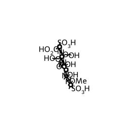 COc1cc(S(=O)(=O)O)c(C)cc1/N=N/c1c(C)nn(-c2ccc3c(O)c(/N=N/c4cc(OCCO)c(/N=N/c5ccc(S(=O)(=O)O)cc5C(=O)O)cc4OCCO)c(S(C)(=O)=O)cc3c2)c1O